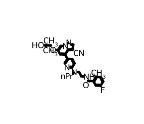 CCCN(CCNC(=O)c1cc(F)ccc1C)c1ccc(-c2cc(OCC(C)(C)O)cn3ncc(C#N)c23)cn1